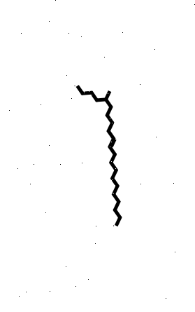 [CH2]CCCCCCCCC/C=C/CCCCC(C)CCC[CH2]